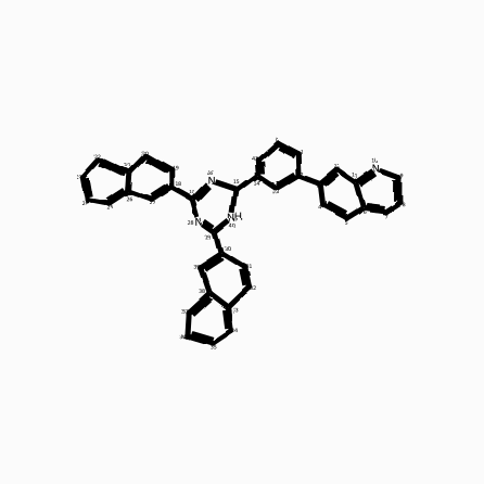 c1cc(-c2ccc3cccnc3c2)cc(C2N=C(c3ccc4ccccc4c3)N=C(c3ccc4ccccc4c3)N2)c1